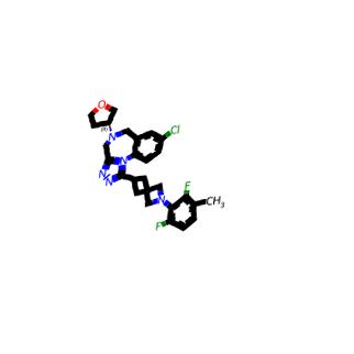 Cc1ccc(F)c(N2CC3(CC(c4nnc5n4-c4ccc(Cl)cc4CN([C@@H]4CCOC4)C5)C3)C2)c1F